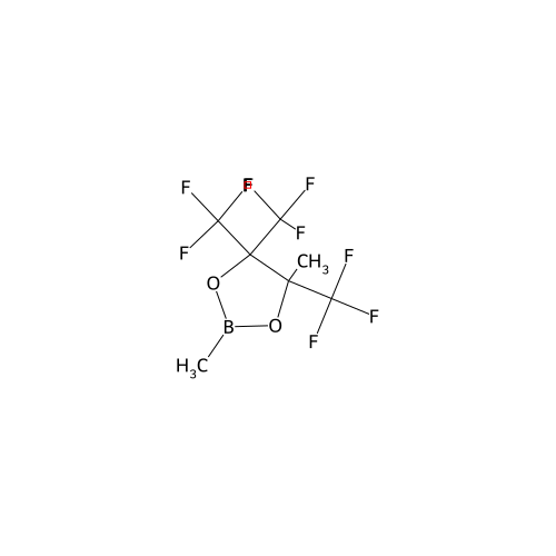 CB1OC(C)(C(F)(F)F)C(C(F)(F)F)(C(F)(F)F)O1